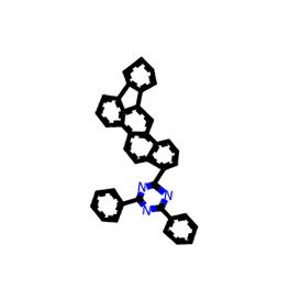 c1ccc(-c2nc(-c3ccccc3)nc(-c3cccc4c3ccc3c5cccc6c5c(cc43)-c3ccccc3-6)n2)cc1